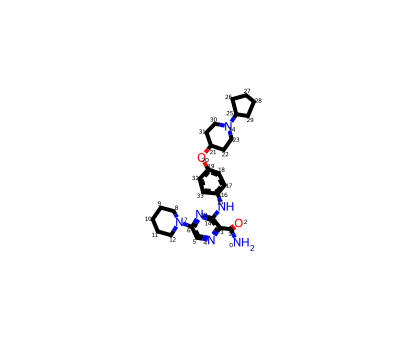 NC(=O)c1ncc(N2CCCCC2)nc1Nc1ccc(OC2CCN(C3CCCC3)CC2)cc1